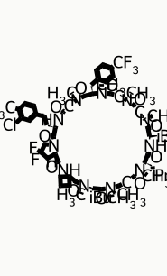 CC[C@H](C)[C@@H]1NC(=O)[C@H](CC(C)C)N(C)C(=O)C[C@@H](C)N(C)C(=O)[C@H]([C@@H](C)CC)N(C)C(=O)C2(CCC2)NC(=O)[C@@H]2CC(F)(F)CN2C(=O)[C@H](CCc2ccc(C(F)(F)F)c(Cl)c2)NC(=O)CN(C)C(=O)[C@H](Cc2ccc(C(F)(F)F)cc2)N(C)C(=O)CN(C)C(=O)CN(C)C1=O